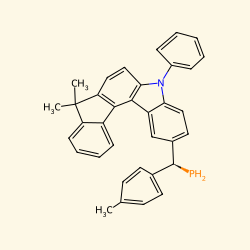 Cc1ccc([C@H](P)c2ccc3c(c2)c2c4c(ccc2n3-c2ccccc2)C(C)(C)c2ccccc2-4)cc1